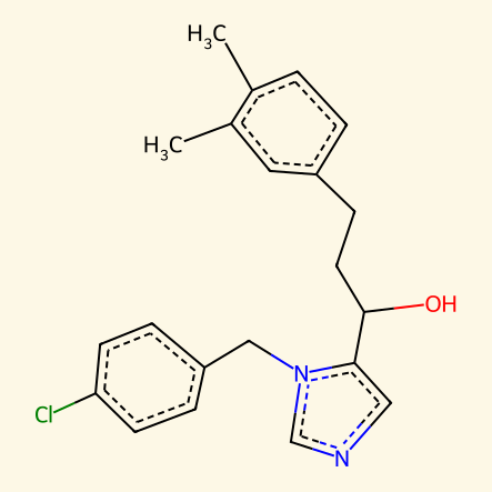 Cc1ccc(CCC(O)c2cncn2Cc2ccc(Cl)cc2)cc1C